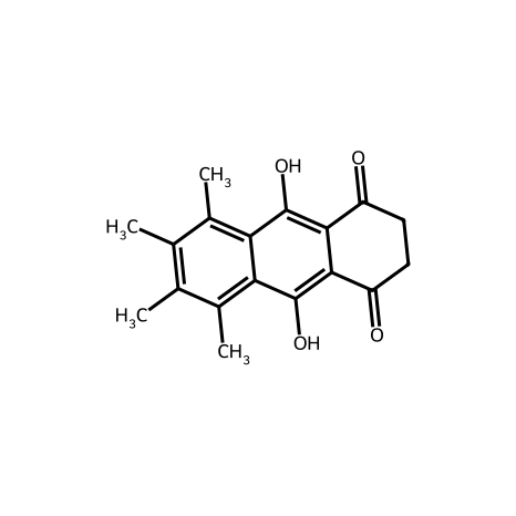 Cc1c(C)c(C)c2c(O)c3c(c(O)c2c1C)C(=O)CCC3=O